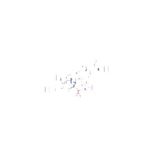 CC(=O)C(=O)N1CCC[C@H]1C(=O)N(C)/C(=C\C(C)C)C(N)=O